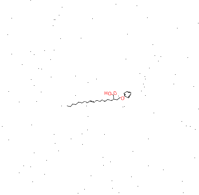 CCCCCCCCC=CCCCCCCC(CCOc1ccccc1)C(=O)O